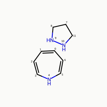 C1=CC=CNC=C1.C1CNNC1